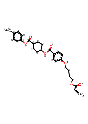 C=CC(=O)OCCCCOc1ccc(C(=O)OC2CCC(C(=O)Oc3ccc(OC)cc3)CC2)cc1